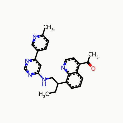 CCC(CNc1cc(-c2ccc(C)nc2)ncn1)c1cccc2c(C(C)=O)ccnc12